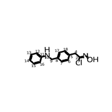 O/N=C(\Cl)Cc1ccc(CNc2ccccc2)cc1